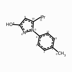 Cc1ccc(-n2nc(O)cc2C(C)C)cc1